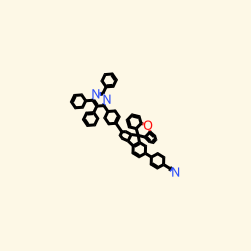 N#CC1C=CC(C2C=CC3=C(C2)C2(c4ccccc4OC4C=CC=CC42)C2CC(C4=CCC(c5nc(C6=CC=CCC6)nc(C6CC=CCC6)c5C5=CC=CCC5)CC4)CCC32)CC1